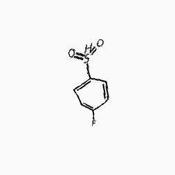 O=[SH](=O)c1ccc(F)cc1